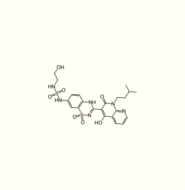 CC(C)CCn1c(=O)c(C2=NS(=O)(=O)c3cc(NS(=O)(=O)NCCO)ccc3N2)c(O)c2cccnc21